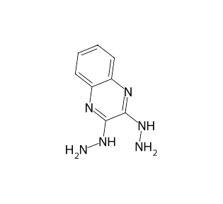 NNc1nc2ccccc2nc1NN